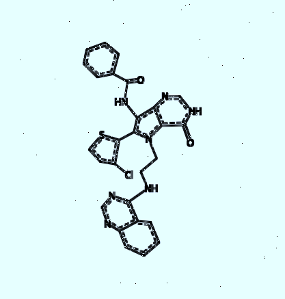 O=C(Nc1c(-c2sccc2Cl)n(CCNc2ncnc3ccccc23)c2c(=O)[nH]cnc12)c1ccccc1